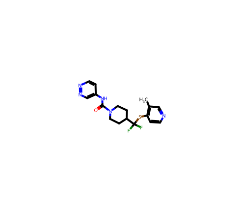 Cc1cnccc1SC(F)(F)C1CCN(C(=O)Nc2ccnnc2)CC1